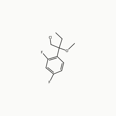 CCC(CCl)(OC)c1ccc(F)cc1F